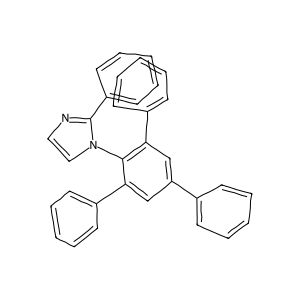 c1ccc(-c2cc(-c3ccccc3)c(-n3ccnc3-c3ccccc3)c(-c3ccccc3)c2)cc1